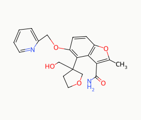 Cc1oc2ccc(OCc3ccccn3)c(C3(CO)CCOC3)c2c1C(N)=O